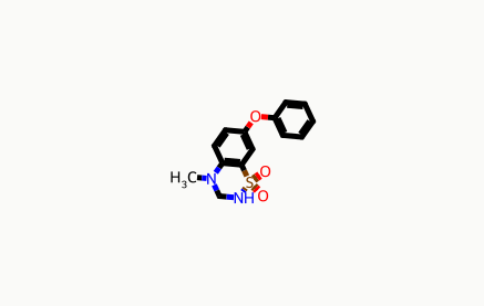 CN1CNS(=O)(=O)c2cc(Oc3ccccc3)ccc21